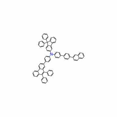 c1ccc(-c2c(-c3ccccc3)c3cc(-c4ccc(N(c5ccc(-c6ccc(-c7ccc8ccccc8c7)cc6)cc5)c5ccc6c(c5)-c5ccccc5C6(c5ccccc5)c5ccccc5)cc4)ccc3c3ccccc23)cc1